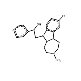 CN1CCC2c3cc(Cl)ccc3N(CC(O)c3ccncc3)C2CC1